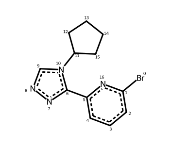 Brc1cccc(-c2nncn2C2CCCC2)n1